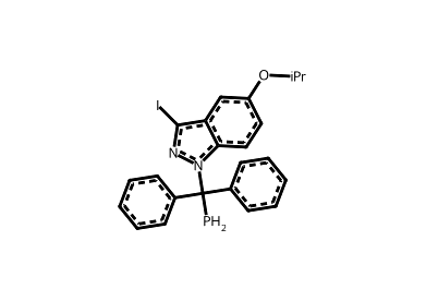 CC(C)Oc1ccc2c(c1)c(I)nn2C(P)(c1ccccc1)c1ccccc1